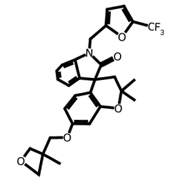 CC1(COc2ccc3c(c2)OC(C)(C)CC32C(=O)N(Cc3ccc(C(F)(F)F)o3)c3ccccc32)COC1